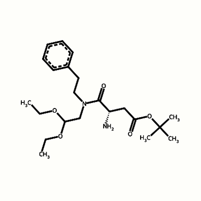 CCOC(CN(CCc1ccccc1)C(=O)[C@@H](N)CC(=O)OC(C)(C)C)OCC